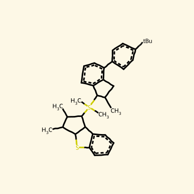 CC1Cc2c(-c3ccc(C(C)(C)C)cc3)cccc2C1S(C)(C)C1C(C)C(C)C2Sc3ccccc3C21